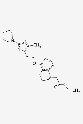 CCOC(=O)CC1=CCCc2c(OCCc3nc(N4CCCCC4)sc3C)cccc21